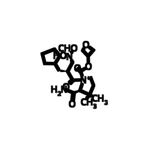 CC1(C)CC[N+](C(=O)OC2COC2)(C(=O)[C@H](CC2CCCC2)CN(O)C=O)[C@@H]1C(N)=O